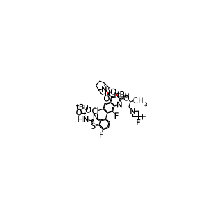 C[C@@H](CN1CC(F)(F)C1)Oc1nc(N2CC3CCC(C2)N3C(=O)OC(C)(C)C)c2cc(Cl)c(-c3ccc(F)c4sc(NC(=O)OC(C)(C)C)nc34)c(F)c2n1